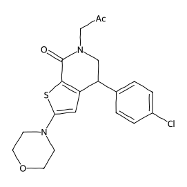 CC(=O)CN1CC(c2ccc(Cl)cc2)c2cc(N3CCOCC3)sc2C1=O